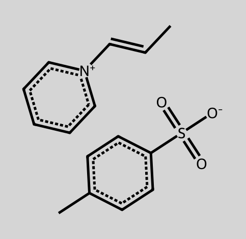 CC=C[n+]1ccccc1.Cc1ccc(S(=O)(=O)[O-])cc1